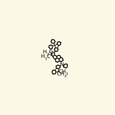 Cc1c(C)n(-c2ccc3c(c2)C(c2ccccc2)(c2ccccc2)c2ccccc2-3)c2c1cc1ccc3c(N(c4ccccc4)c4ccc5c(c4)C(C)(C)c4ccccc4-5)ccc4ccc2c1c43